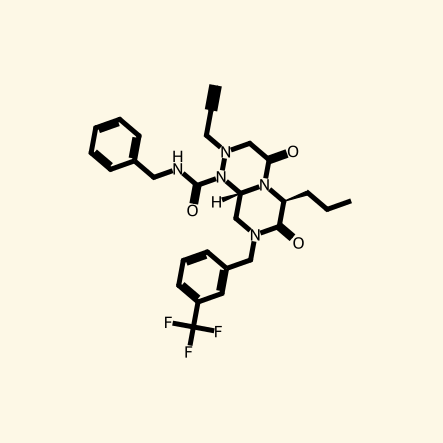 C#CCN1CC(=O)N2[C@@H](CCC)C(=O)N(Cc3cccc(C(F)(F)F)c3)C[C@@H]2N1C(=O)NCc1ccccc1